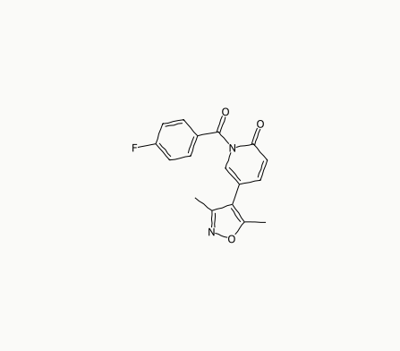 Cc1noc(C)c1-c1ccc(=O)n(C(=O)c2ccc(F)cc2)c1